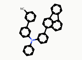 N#Cc1cccc(-c2cccc(N(c3ccccc3)c3cccc(-c4ccc5c6c(cccc46)-c4ccccc4-5)c3)c2)c1